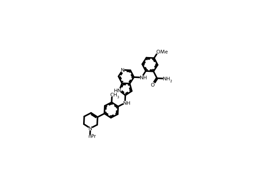 CCCN1CCC=C(c2ccc(Nc3cc4c(Nc5ccc(OC)cc5C(N)=O)cncc4[nH]3)c(C)c2)C1